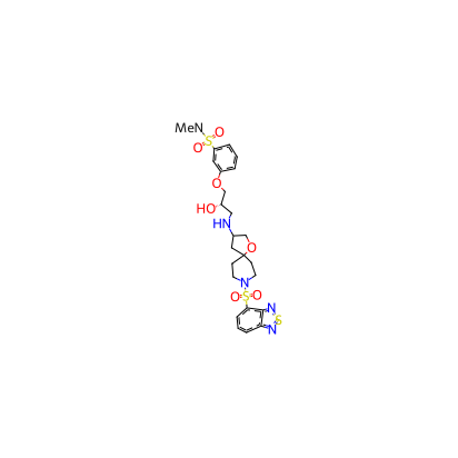 CNS(=O)(=O)c1cccc(OC[C@@H](O)CNC2COC3(CCN(S(=O)(=O)c4cccc5nsnc45)CC3)C2)c1